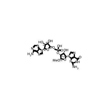 CO[C@H]1O[C@@H](n2cnc3c(=O)[nH]c(N)nc32)[C@@H](O)[C@H]1OP(=O)(O)CO[C@H]1O[C@@H](n2cnc3c(N)ncnc32)[C@@H](O)[C@H]1O